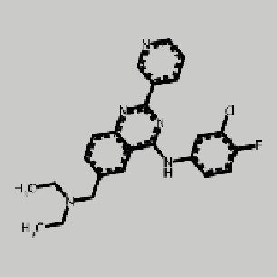 CCN(CC)Cc1ccc2nc(-c3cccnc3)nc(Nc3ccc(F)c(Cl)c3)c2c1